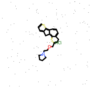 C1=CSC2=C3C=CC=C4CC=C(COCCN5CCCC5)SC4=C3CC2=C1.Cl